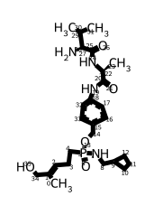 C/C(=C\CCP(=O)(NCC1CCC1)OCc1ccc(NC(=O)[C@H](C)NC(=O)[C@@H](N)C(C)C)cc1)CO